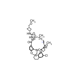 COC[C@H]1C[C@H](NC(=O)NS2(=O)=NC(=O)c3ccc4c(c3)N(C[C@@H]3CC[C@H]3[C@@H](OC)/C=C/C[C@H](C)C2)C[C@@]2(CCCc3cc(Cl)ccc32)CO4)C1